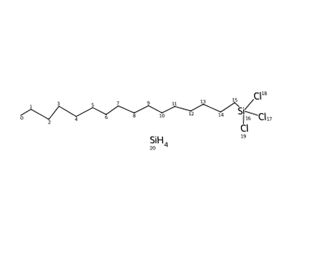 CCCCCCCCCCCCCCCC[Si](Cl)(Cl)Cl.[SiH4]